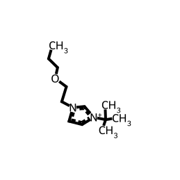 CCCOCCn1cc[n+](C(C)(C)C)c1